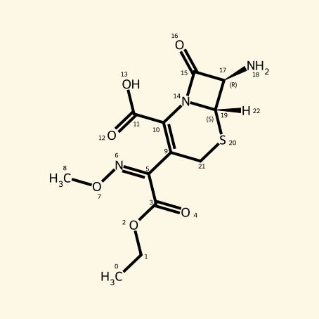 CCOC(=O)C(=NOC)C1=C(C(=O)O)N2C(=O)[C@@H](N)[C@@H]2SC1